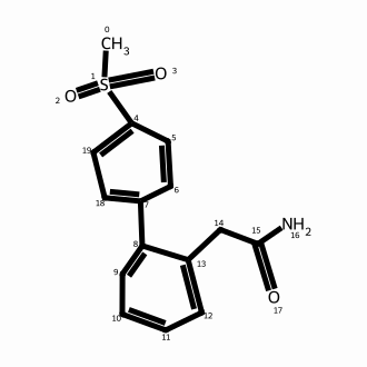 CS(=O)(=O)c1ccc(-c2ccccc2CC(N)=O)cc1